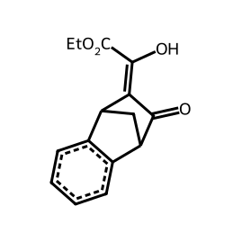 CCOC(=O)/C(O)=C1/C(=O)C2CC1c1ccccc12